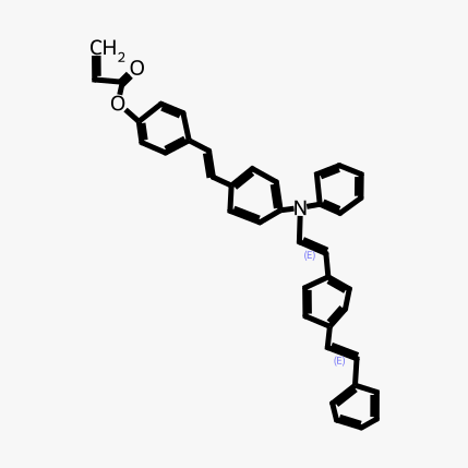 C=CC(=O)Oc1ccc(C=Cc2ccc(N(/C=C/c3ccc(/C=C/c4ccccc4)cc3)c3ccccc3)cc2)cc1